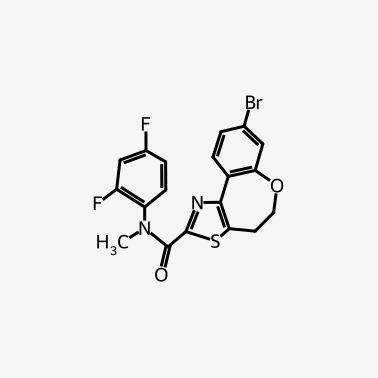 CN(C(=O)c1nc2c(s1)CCOc1cc(Br)ccc1-2)c1ccc(F)cc1F